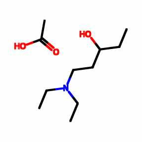 CC(=O)O.CCC(O)CCN(CC)CC